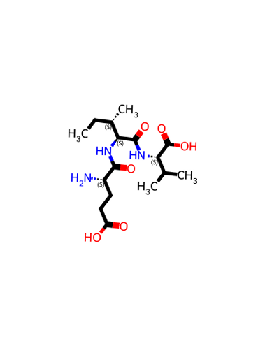 CC[C@H](C)[C@H](NC(=O)[C@@H](N)CCC(=O)O)C(=O)N[C@H](C(=O)O)C(C)C